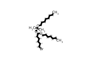 CCCCCCCCO[Si](C)(C)OC(CCCCCBr)OCCCCCCC